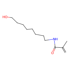 C=C(C)C(=O)NCCCCCCCCO